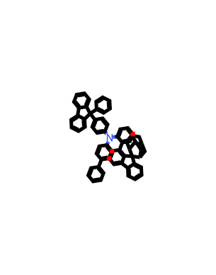 c1ccc(-c2ccc(N(c3ccc(C4(c5ccccc5)c5ccccc5-c5ccccc54)cc3)c3ccccc3-c3cccc4c3C3(c5ccccc5-4)C4CC5CC(C4)CC3C5)cc2)cc1